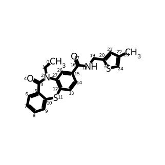 CCN1C(=O)c2ccccc2Sc2ccc(C(=O)NCc3cc(C)cs3)cc21